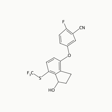 N#Cc1cc(Oc2ccc(SC(F)(F)F)c3c2CCC3O)ccc1F